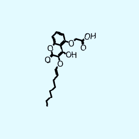 CCCCCCC=COc1c(O)c2c(OCC(=O)O)cccc2oc1=O